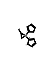 C[CH]1[CH2][Ti]1([C]1=CC=CC1)[C]1=CC=CC1